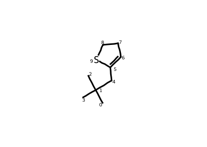 CC(C)(C)CC1=CCCS1